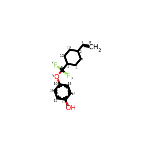 C=CC1CCC(C(F)(F)Oc2ccc(O)cc2)CC1